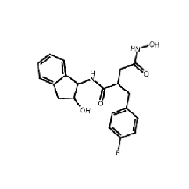 O=C(CC(Cc1ccc(F)cc1)C(=O)NC1c2ccccc2CC1O)NO